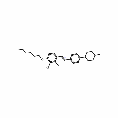 CCCCCCOc1ccc(/C=C/c2ccc(C3CCC(C)CC3)cc2)c(F)c1Cl